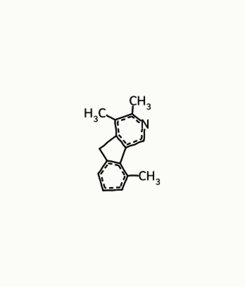 Cc1cccc2c1-c1cnc(C)c(C)c1C2